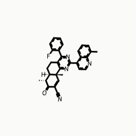 Cc1cccc2c(-c3nc(-c4ccccc4F)c4c(n3)[C@]3(C)C=C(C#N)C(=O)[C@H](C)[C@H]3CC4)ccnc12